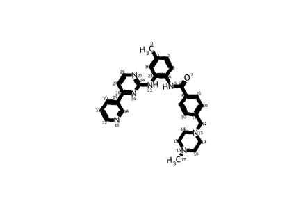 Cc1ccc(NC(=O)c2ccc(CN3CCN(C)CC3)cc2)c(Nc2nccc(-c3cccnc3)n2)c1